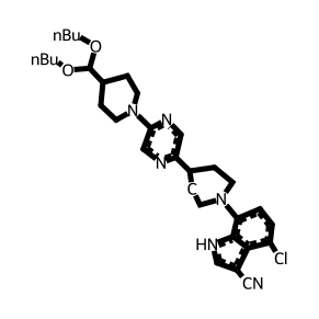 CCCCOC(OCCCC)C1CCN(c2cnc(C3CCN(c4ccc(Cl)c5c(C#N)c[nH]c45)CC3)cn2)CC1